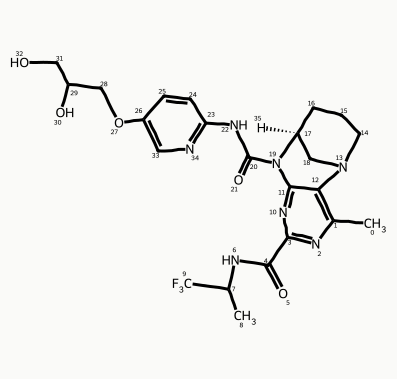 Cc1nc(C(=O)NC(C)C(F)(F)F)nc2c1N1CCC[C@@H](C1)N2C(=O)Nc1ccc(OCC(O)CO)cn1